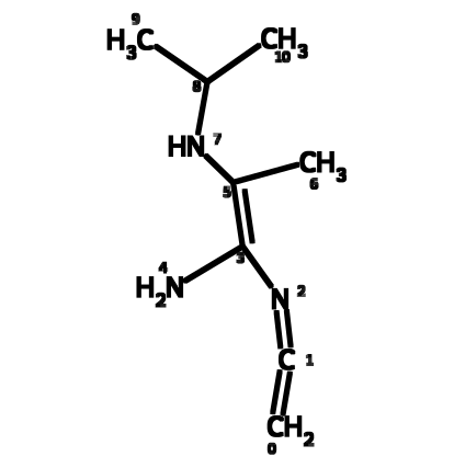 C=C=N/C(N)=C(\C)NC(C)C